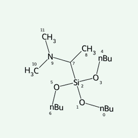 CCCCO[Si](OCCCC)(OCCCC)C(C)N(C)C